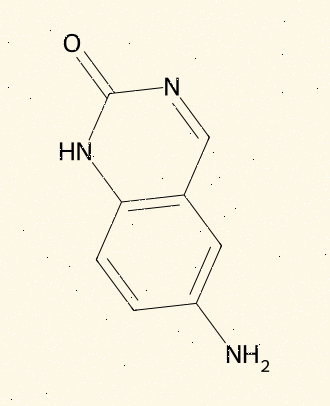 Nc1ccc2[nH]c(=O)ncc2c1